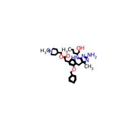 CCCC(CO)Nc1nc(N)nc(C)c1Cc1ccc(CC(=O)OCC2CCN(C)CC2)cc1OCc1ccccc1